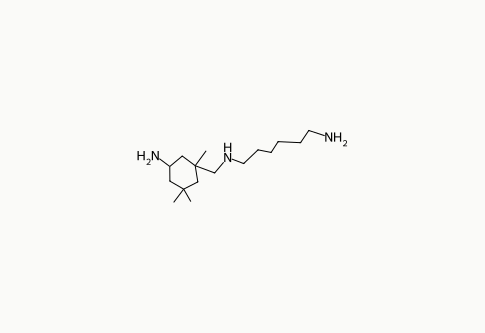 CC1(C)CC(N)CC(C)(CNCCCCCCN)C1